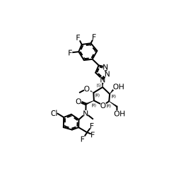 CO[C@@H]1[C@@H](n2cc(-c3cc(F)c(F)c(F)c3)nn2)[C@@H](O)[C@@H](CO)O[C@H]1C(=O)N(C)c1cc(Cl)ccc1C(F)(F)F